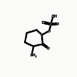 NC1CCCN(OS(=O)(=O)O)C1=O